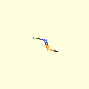 CP=NCl